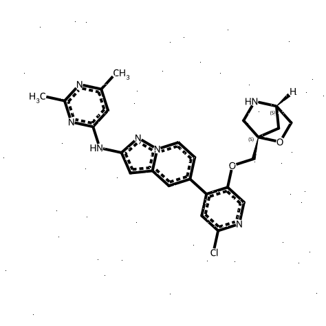 Cc1cc(Nc2cc3cc(-c4cc(Cl)ncc4OC[C@]45CN[C@H](CO4)C5)ccn3n2)nc(C)n1